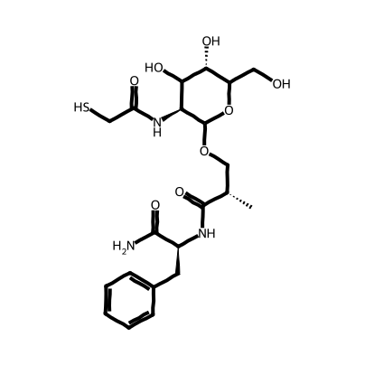 C[C@@H](COC1OC(CO)[C@@H](O)C(O)[C@@H]1NC(=O)CS)C(=O)N[C@@H](Cc1ccccc1)C(N)=O